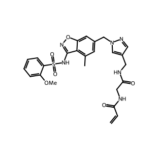 C=CC(=O)NCC(=O)NCc1cnn(Cc2cc(C)c3c(NS(=O)(=O)c4ccccc4OC)noc3c2)c1